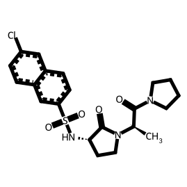 C[C@H](C(=O)N1CCCC1)N1CC[C@H](NS(=O)(=O)c2ccc3cc(Cl)ccc3c2)C1=O